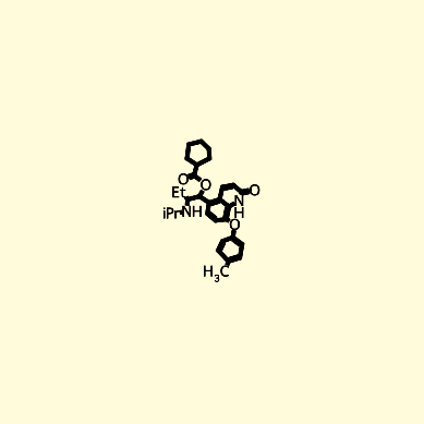 CCC(NC(C)C)C(OC(=O)C1CCCCC1)c1ccc(Oc2ccc(C)cc2)c2[nH]c(=O)ccc12